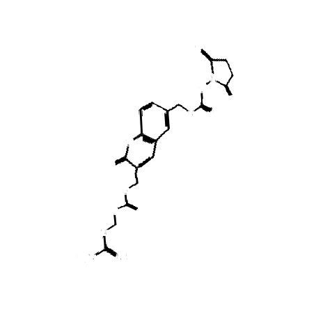 N=C(N)NCOC(=O)OCc1cc2cc(CNC(=O)ON3C(=O)CCC3=O)ccc2oc1=O